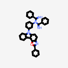 N=C(c1ccccc1)N(C(=N)c1ccccc1)c1cccc(-n2c3ccccc3c3c4oc(-c5ccccc5)nc4ccc32)c1